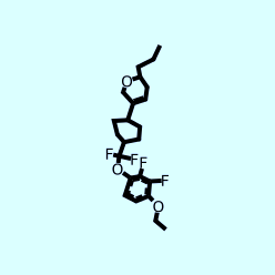 CCCC1CC=C(C2CCC(C(F)(F)Oc3ccc(OCC)c(F)c3F)CC2)CO1